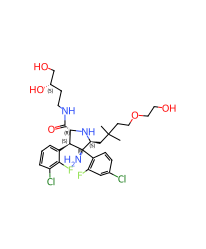 CC(C)(CCOCCO)C[C@@H]1N[C@@H](C(=O)NCC[C@H](O)CO)[C@H](c2cccc(Cl)c2F)[C@@]1(N)c1ccc(Cl)cc1F